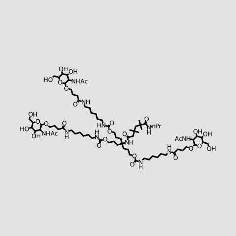 CCCNC(=O)C(C)(C)CC(C)(C)CC(=O)NC(CCCOC(=O)NCCCCCCNC(=O)CCCOC1OC(CO)C(O)C(O)C1NC(C)=O)(CCCOC(=O)NCCCCCCNC(=O)CCCOC1OC(CO)C(O)C(O)C1NC(C)=O)CCCOC(=O)NCCCCCCNC(=O)CCCOC1OC(CO)C(O)C(O)C1NC(C)=O